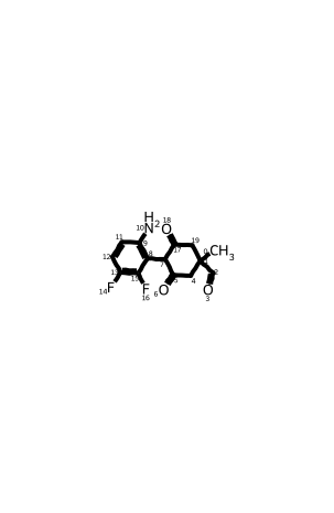 CC1(C=O)CC(=O)C(c2c(N)ccc(F)c2F)C(=O)C1